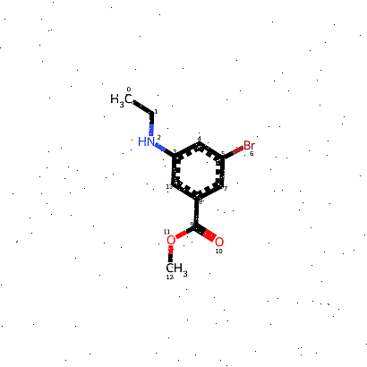 CCNc1cc(Br)cc(C(=O)OC)c1